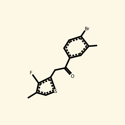 Cc1cc(C(=O)Cc2scc(C)c2F)ccc1Br